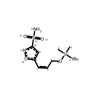 CC(C)(C)[Si](C)(C)OC/C=C\c1cc(S(N)(=O)=O)no1